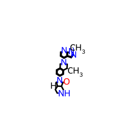 C[C@H]1CN(c2ccnc3c2cnn3C)Cc2ccc(N3C[C@@H]4CCNCC4C3=O)cc21